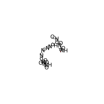 CCN(c1cc(-c2ccc(N3CCN(C4CCN(CC5CCN(c6ccc7c(c6)C(=O)N(N6CCC(=O)NC6=O)C7=O)CC5)CC4)CC3)cc2)cc(C(=O)NCc2c(C)cc(C)[nH]c2=O)c1C)C1CCOCC1